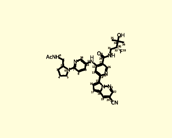 CC(=O)NCC1CCCN1c1ccc(Nc2cc(-c3ccc4cc(C#N)cnn34)ncc2C(=O)NC[C@@H](F)C(C)(C)O)cn1